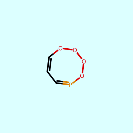 C1=C\OOOO\P=C/1